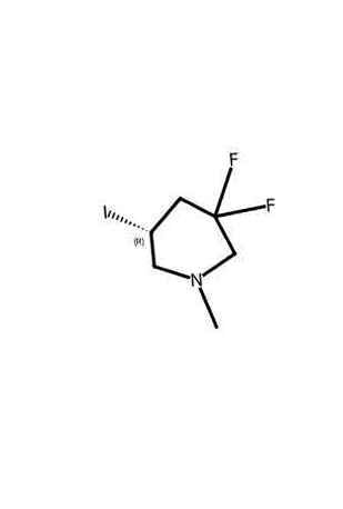 CN1C[C@H](I)CC(F)(F)C1